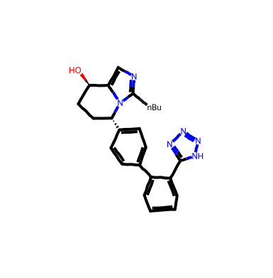 CCCCc1ncc2n1[C@H](c1ccc(-c3ccccc3-c3nnn[nH]3)cc1)CC[C@H]2O